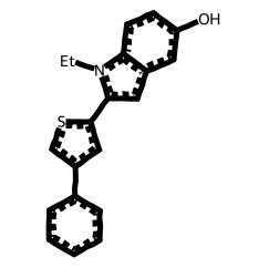 CCn1c(-c2cc(-c3ccccc3)cs2)cc2cc(O)ccc21